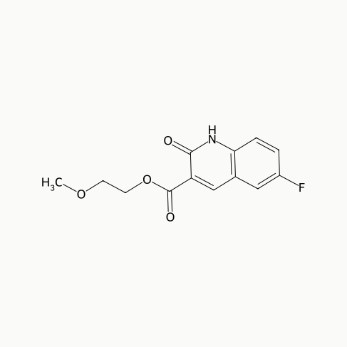 COCCOC(=O)c1cc2cc(F)ccc2[nH]c1=O